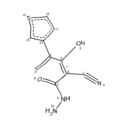 C=C(/C(O)=C(/C#N)C(=O)NN)c1ccsc1